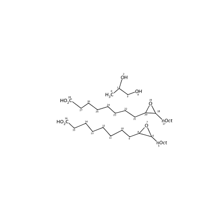 CC(O)CO.CCCCCCCCC1OC1CCCCCCCC(=O)O.CCCCCCCCC1OC1CCCCCCCC(=O)O